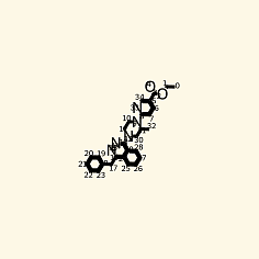 CCOC(=O)c1ccc(N2CCN(c3nnc(Cc4ccccc4)c4ccccc34)CC2C)nc1